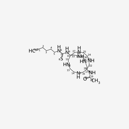 C#CCCCCNC(=S)NC12CNCCNCC(NC(C)=O)(CNCCNC1)CNCCNC2